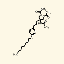 CCCCCCCCOc1ccc(CCCC(COC(C)=O)(COC(C)=O)NC(C)=O)cc1